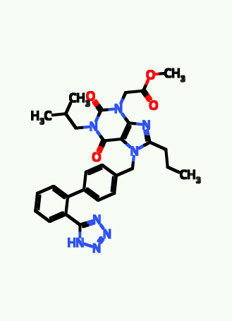 CCCc1nc2c(c(=O)n(CC(C)C)c(=O)n2CC(=O)OC)n1Cc1ccc(-c2ccccc2-c2nnn[nH]2)cc1